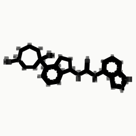 O=C(Nc1cccc2[nH]ncc12)NC1CCc2c1cccc2C1(O)CCCN(O)CC1